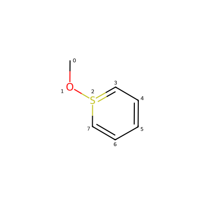 COS1=CC=CC=C1